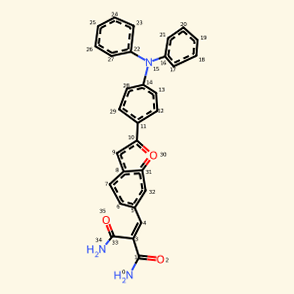 NC(=O)C(=Cc1ccc2cc(-c3ccc(N(c4ccccc4)c4ccccc4)cc3)oc2c1)C(N)=O